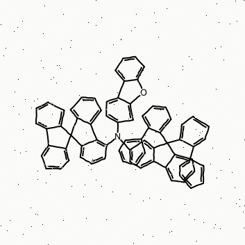 c1ccc(-c2ccccc2C2(c3ccccc3-c3ccccc3)c3ccccc3-c3ccc(N(c4ccc5c(c4)oc4ccccc45)c4cccc5c4-c4ccccc4C54c5ccccc5-c5ccccc54)cc32)cc1